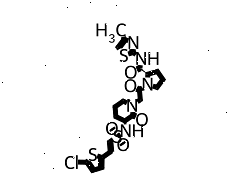 Cc1csc(NC(=O)[C@@H]2CCCN2C(=O)CN2CCC[C@H](NS(=O)(=O)/C=C/c3ccc(Cl)s3)C2=O)n1